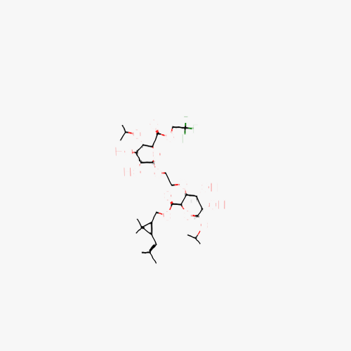 CC(C)=CC1C(COC(=O)C2O[C@@H](OC(C)C)[C@@H](O)[C@@H](O)[C@@H]2OCCO[C@@H]2OC(C(=O)OCC(F)(F)F)[C@@H](OC(C)C)[C@H](O)[C@@H]2O)C1(C)C